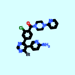 CCc1ncnc(-c2ccc(C(=O)N3CCN(c4ccccn4)CC3)c(Cl)c2)c1-c1ccc(N)nc1